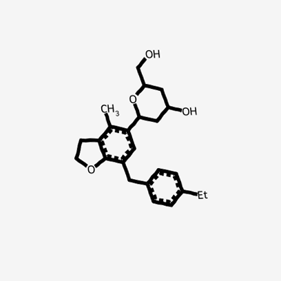 CCc1ccc(Cc2cc(C3CC(O)CC(CO)O3)c(C)c3c2OCC3)cc1